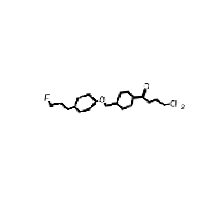 CCCCC(=O)C1CCC(COC2CCC(CCCF)CC2)CC1